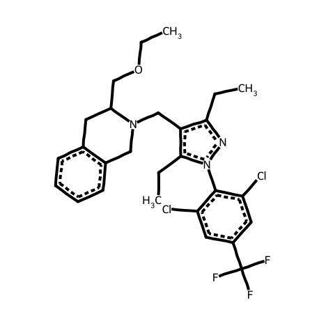 CCOCC1Cc2ccccc2CN1Cc1c(CC)nn(-c2c(Cl)cc(C(F)(F)F)cc2Cl)c1CC